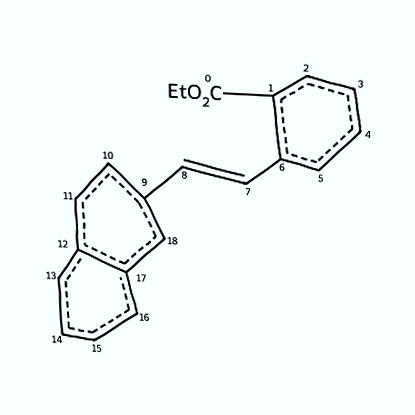 CCOC(=O)c1ccccc1C=Cc1ccc2ccccc2c1